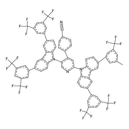 Cc1cc(-c2ccc3c(c2)c2cc(-c4cc(C(F)(F)F)cc(C(F)(F)F)c4)ccc2n3-c2cc(-c3ccc(C#N)cc3)c(-n3c4ccc(-c5cc(C(F)(F)F)cc(C(F)(F)F)c5)cc4c4cc(-c5cc(C(F)(F)F)cc(C(F)(F)F)c5)ccc43)cn2)cc(C(F)(F)F)c1